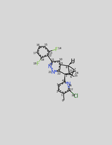 Cc1ccc([C@@]23CC[C@@H](c4cc(-c5c(F)cccc5F)nnc42)C3(C)C)nc1Cl